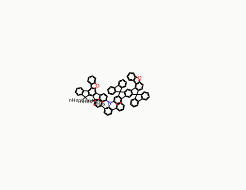 CCCCCCCC1(CCCCCCC)c2ccccc2-c2c1c1c(c3oc4ccccc4c23)-c2ccc(N(c3ccc4c(c3)C3(c5ccccc5-c5ccccc53)c3cc5c(cc3-4)C3(c4ccccc4-c4ccccc43)c3ccc4oc6ccccc6c4c3-5)c3c(-c4ccccc4)cccc3-c3ccccc3)cc2C1(CCCCCC)CCCCCC